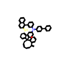 C=C1/C=C\C=C/CC(C2=CCCC=C2)(c2ccc(N(c3ccc(-c4ccccc4)cc3)c3cccc(-c4c(S)ccc5ccccc45)c3)cc2)c2ccccc21